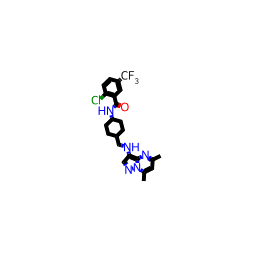 Cc1cc(C)n2ncc(NCC3CCC(NC(=O)c4cc(C(F)(F)F)ccc4Cl)CC3)c2n1